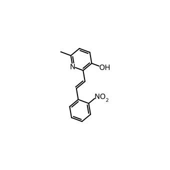 Cc1ccc(O)c(C=Cc2ccccc2[N+](=O)[O-])n1